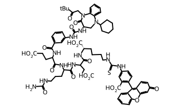 CC(C)(C)C(=O)CN1C(=O)[C@H](NC(=O)Nc2cccc(C(=O)NC(CCC(=O)O)C(=O)NC(CCCNC(N)=O)C(=O)NC(CC(=O)O)C(=O)N[C@@H](CCCCNC(=S)Nc3ccc(-c4c5ccc(=O)cc-5oc5ccccc45)c(C(=O)O)c3)C(=O)O)c2)CN(C2CCCCC2)c2ccccc21